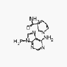 NC(=O)c1cccnc1.Nc1ncnc2c1ncn2P